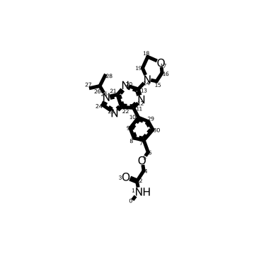 CNC(=O)COCc1ccc(-c2nc(N3CCOCC3)nc3c2ncn3C(C)C)cc1